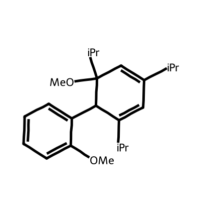 COc1ccccc1C1C(C(C)C)=CC(C(C)C)=CC1(OC)C(C)C